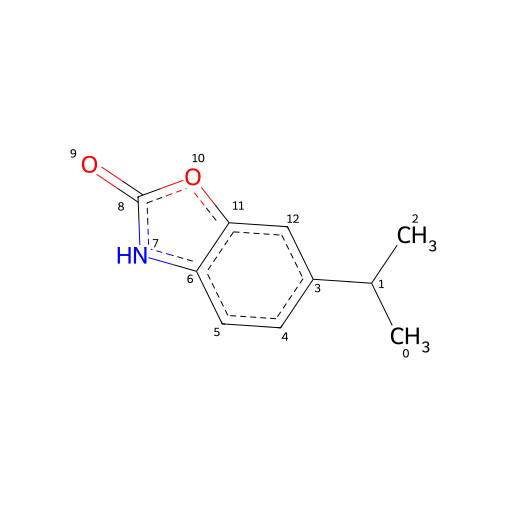 CC(C)c1ccc2[nH]c(=O)oc2c1